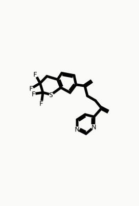 C=C(CCC(=C)c1ccncn1)c1ccc2c(c1)SC(F)(F)C(F)(F)C2